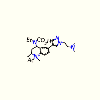 CCN(C(=O)O)[C@@H]1C[C@H](C)[N+](C)(C(C)=O)c2ccc(-c3cnn(CCN(C)C)c3)cc21